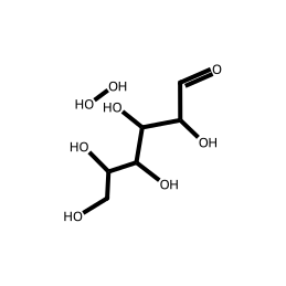 O=CC(O)C(O)C(O)C(O)CO.OO